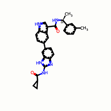 Cc1cccc([C@H](C)NC(=O)c2c[nH]c3ccc(-c4ccc5nc(NC(=O)C6CC6)[nH]c5c4)cc23)c1